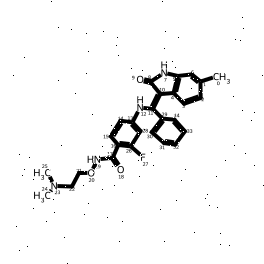 Cc1ccc2c(c1)NC(=O)/C2=C(\Nc1ccc(C(=O)NOCCN(C)C)c(F)c1)c1ccccc1